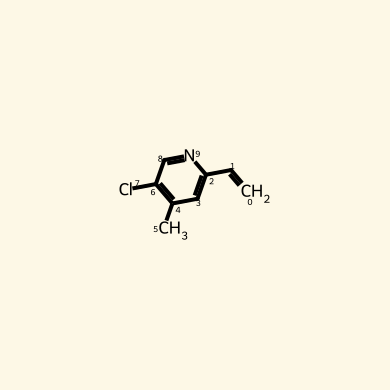 C=Cc1cc(C)c(Cl)cn1